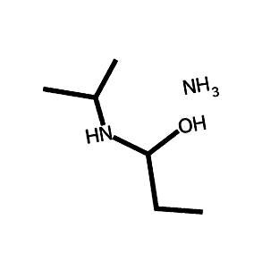 CCC(O)NC(C)C.N